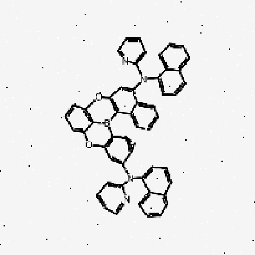 c1ccc(N(c2cccc3ccccc23)c2cc3c(c4ccccc24)B2c4c(cccc4Oc4cc(N(c5ccccn5)c5cccc6ccccc56)c5ccccc5c42)O3)nc1